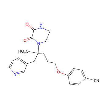 N#Cc1ccc(OCCCC(Cc2cccnc2)(C(=O)O)N2CCNC(=O)C2=O)cc1